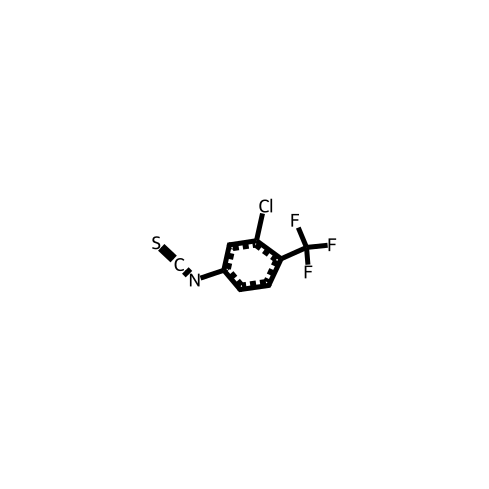 FC(F)(F)c1ccc(N=C=S)cc1Cl